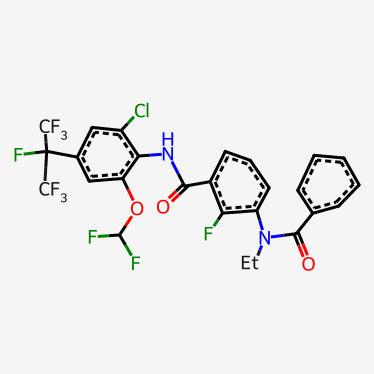 CCN(C(=O)c1ccccc1)c1cccc(C(=O)Nc2c(Cl)cc(C(F)(C(F)(F)F)C(F)(F)F)cc2OC(F)F)c1F